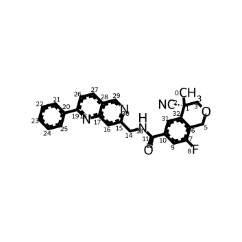 C[C@@]1(C#N)COCc2c(F)cc(C(=O)NCc3cc4nc(-c5ccccc5)ccc4cn3)cc21